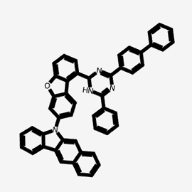 c1ccc(C2=NC(c3ccc(-c4ccccc4)cc3)=NC(c3cccc4oc5cc(-n6c7ccccc7c7cc8ccccc8cc76)ccc5c34)N2)cc1